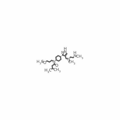 CNCCN(C)Cc1c[nH]nc1[C@H]1CC[C@@H](N(CCCOC)C(=O)CC(C)C)CC1